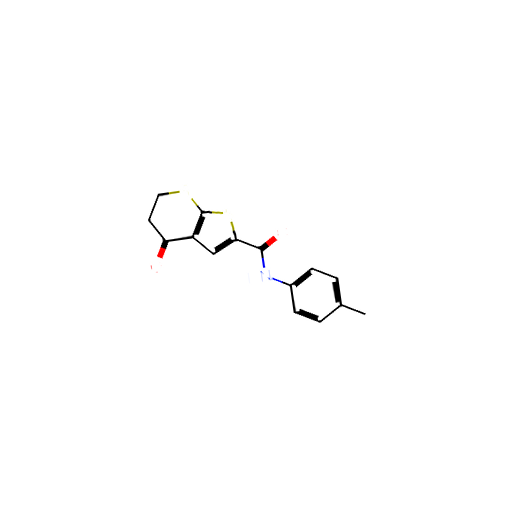 Cc1ccc(NC(=O)c2cc3c(s2)SCCC3=O)cc1